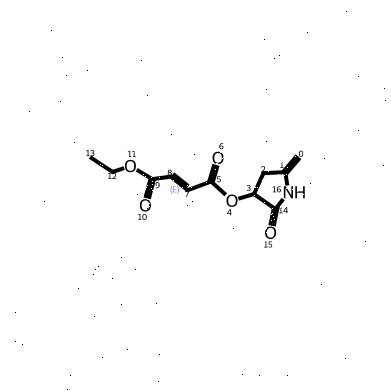 C=C1CC(OC(=O)/C=C/C(=O)OCC)C(=O)N1